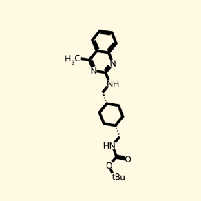 Cc1nc(NC[C@H]2CC[C@@H](CNC(=O)OC(C)(C)C)CC2)nc2ccccc12